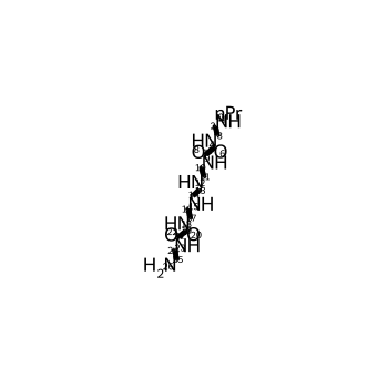 CCCNCCNC(=O)C(=O)NCCNCCNCCNC(=O)C(=O)NCCN